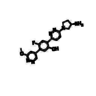 COc1cc(-c2cc(O)c(-c3ccc(N4CC[C@@H](N)C4)nn3)cc2F)cnn1